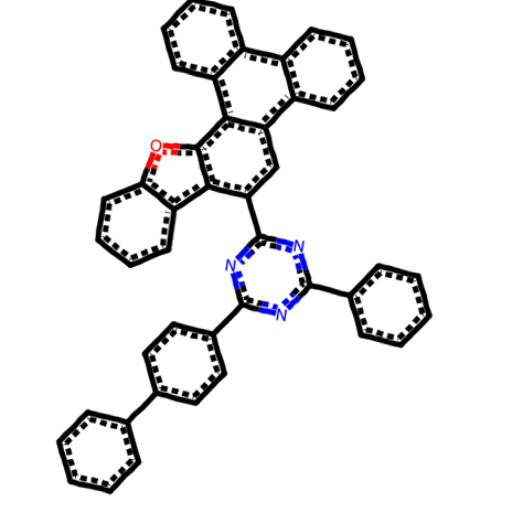 c1ccc(-c2ccc(-c3nc(-c4ccccc4)nc(-c4cc5c6ccccc6c6ccccc6c5c5oc6ccccc6c45)n3)cc2)cc1